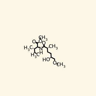 CC[C@H](C)C(NC(=O)[C@H](C)CC[C@H](O)COC)C(=O)OC